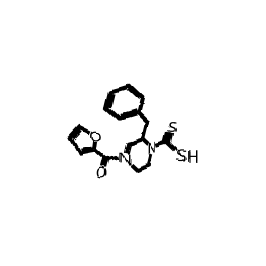 O=C(c1ccco1)N1CCN(C(=S)S)C(Cc2ccccc2)C1